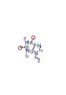 C=Cn1cnc2c(=O)n(C)c(=O)n(C)c21